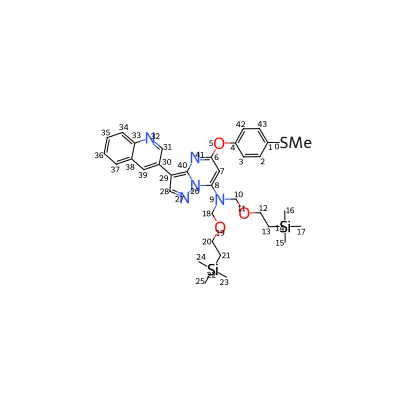 CSc1ccc(Oc2cc(N(COCC[Si](C)(C)C)COCC[Si](C)(C)C)n3ncc(-c4cnc5ccccc5c4)c3n2)cc1